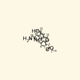 CCOC(=O)Cc1ccc(C)cc1OC(C)/C(F)=C/C(=C(\C)O)c1ccnc(CN)c1